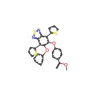 C=C(OC)c1ccc(Oc2c(Oc3ccccc3)c(-c3cccs3)c3nsnc3c2-c2cccs2)cc1